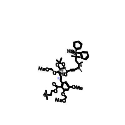 COCOc1cc(OC)cc(/C=C/C(OCOC)[C@@H]2OC(C)(C)O[C@@H]2C(O)C#C[C@@H](C)[C@H](C)CC(C)(C)[Si](O)(c2ccccc2)c2ccccc2)c1C(=O)OCC[Si](C)(C)C